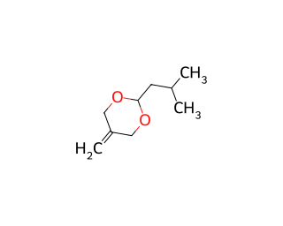 C=C1COC(CC(C)C)OC1